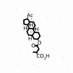 CC(=O)[C@H]1CC[C@H]2[C@@H]3CC[C@@H]4C[C@H](OC(=O)CC(C)C(=O)O)CC[C@]4(C)[C@H]3CC[C@]12C